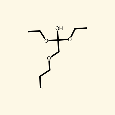 [CH2]CCOCC(O)(OCC)OCC